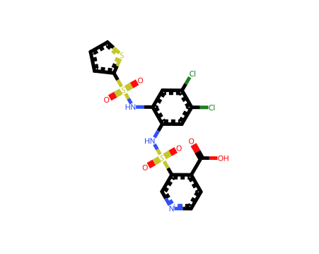 O=C(O)c1ccncc1S(=O)(=O)Nc1cc(Cl)c(Cl)cc1NS(=O)(=O)c1cccs1